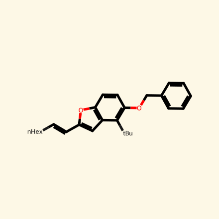 CCCCCC/C=C/c1cc2c(C(C)(C)C)c(OCc3ccccc3)ccc2o1